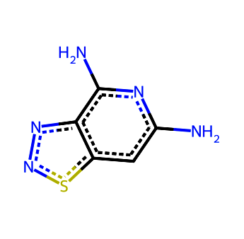 Nc1cc2snnc2c(N)n1